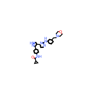 O=C(Nc1ccc(-c2n[nH]cc2-c2ccnc(Nc3cccc(CCN4CCOCC4)c3)n2)cc1)C1CC1